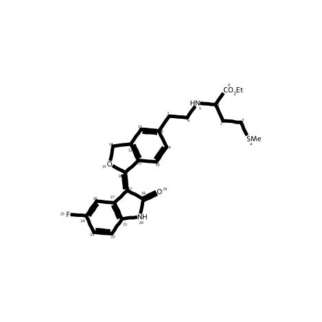 CCOC(=O)C(CCSC)NCCc1ccc2c(c1)CO/C2=C1/C(=O)Nc2ccc(F)cc21